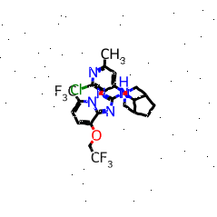 Cc1cc(N2CC3CCC(C2)C3Nc2nc3c(OCC(F)(F)F)ccc(C(F)(F)F)n3n2)cc(Cl)n1